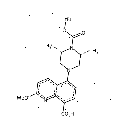 COc1ccc2c(N3C[C@@H](C)N(C(=O)OC(C)(C)C)[C@@H](C)C3)ccc(C(=O)O)c2n1